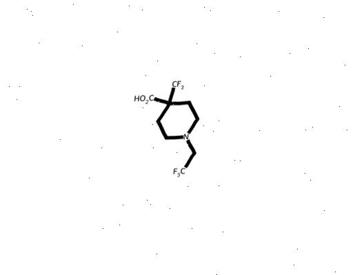 O=C(O)C1(C(F)(F)F)CCN(CC(F)(F)F)CC1